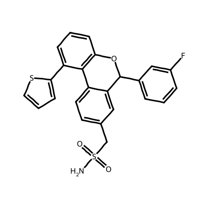 NS(=O)(=O)Cc1ccc2c(c1)C(c1cccc(F)c1)Oc1cccc(-c3cccs3)c1-2